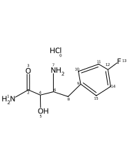 Cl.NC(=O)C(O)C(N)Cc1ccc(F)cc1